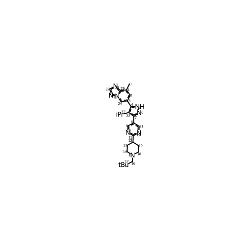 Cc1cc(-c2[nH]nc(-c3cnc(C4CCN(CC(C)(C)C)CC4)nc3)c2C(C)C)cn2ncnc12